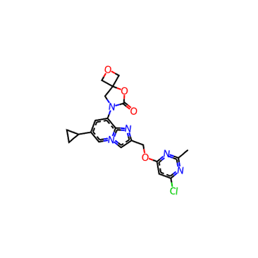 Cc1nc(Cl)cc(OCc2cn3cc(C4CC4)cc(N4CC5(COC5)OC4=O)c3n2)n1